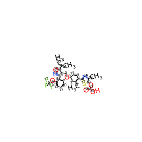 Cc1cc(OCc2c(-c3ccccc3OC(F)(F)F)noc2C(C)C)ccc1-c1nc(C)c(OC(=O)O)s1